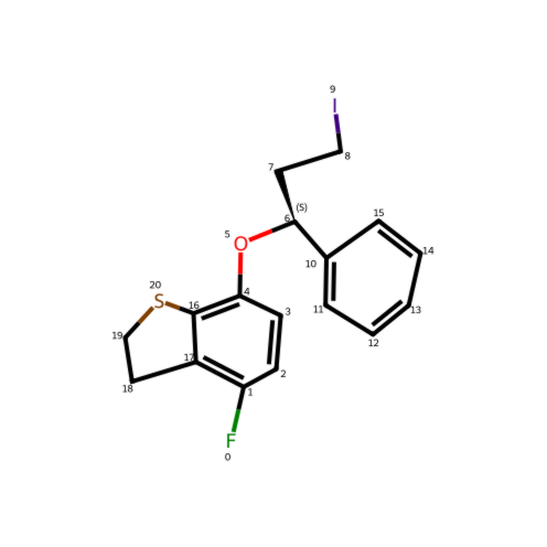 Fc1ccc(O[C@@H](CCI)c2ccccc2)c2c1CCS2